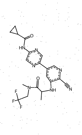 CC(Nc1cc(-c2cnc(NC(=O)C3CC3)cn2)cnc1C#N)C(=O)N(C)CC(F)(F)F